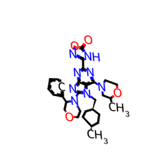 CC1CN(c2nc(-c3noc(=O)[nH]3)nc3nc(N4CCOCC4c4ccccc4)n(C[C@H]4CC[C@H](C)CC4)c23)CCO1